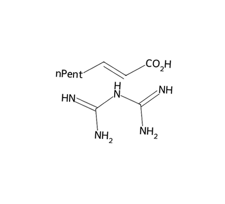 CCCCCC=CC(=O)O.N=C(N)NC(=N)N